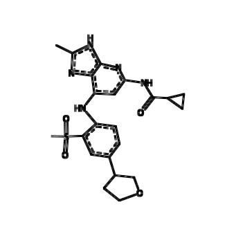 Cc1nc2c(Nc3ccc(C4CCOC4)cc3S(C)(=O)=O)cc(NC(=O)C3CC3)nc2[nH]1